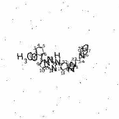 COc1ccccc1-c1ccc2cnc(Nc3ccc4ncn(CCN5CCOCC5)c4c3)nn12